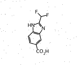 O=C(O)c1ccc2[nH]c(C(F)F)nc2c1